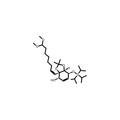 COC(CCCCC/C=C\[C@@]12OC(C)(C)O[C@@H]1[C@@H](O[Si](C(C)C)(C(C)C)C(C)C)C=C[C@H]2O)OC